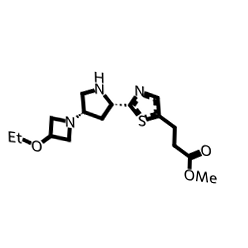 CCOC1CN([C@@H]2CN[C@H](c3ncc(CCC(=O)OC)s3)C2)C1